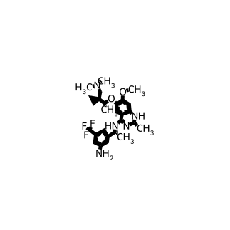 COc1cc2c(cc1O[C@H](C)C1(CN(C)C)CC1)C(N[C@H](C)c1cc(N)cc(C(F)(F)F)c1)=NC(C)N2